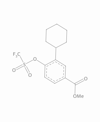 COC(=O)c1ccc(OS(=O)(=O)C(F)(F)F)c(C2CCCCC2)c1